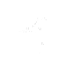 Cl.Cl.O=C(N[C@H]1CN2CCC1CC2)c1cnc2sccc2c1